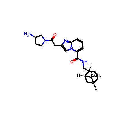 CC1(C)[C@@H]2CC[C@@H](CNC(=O)c3cccc4nc(CC(=O)N5CC[C@@H](N)C5)cn34)[C@@H]1C2